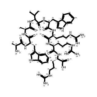 CC(C)[C@H](NC(=O)[C@H](C)NC(=O)[C@H](Cc1c[nH]c2ccccc12)NC(=O)[C@H](C)N)C(=O)N[C@@H](Cc1c[nH]c2ccccc12)C(=O)N[C@@H](CCCNC(=N)N)C(=O)N[C@@H](CCCNC(=N)N)C(=O)N[C@@H](CCCNC(=N)N)C(=O)O